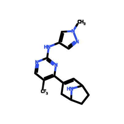 Cn1cc(Nc2ncc(C(F)(F)F)c(C3=CC4CCC(C3)N4)n2)cn1